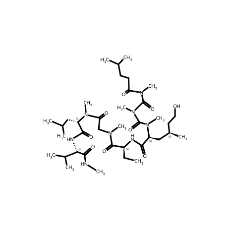 CC[C@H](NC(=O)[C@H](C[C@H](C)CCO)N(C)C(=O)N(C)C(=O)N(C)C(=O)CCC(C)C)C(=O)N(C)CC(=O)N(C)[C@@H](CC(C)C)C(=O)N[C@H](C(=O)NC)C(C)C